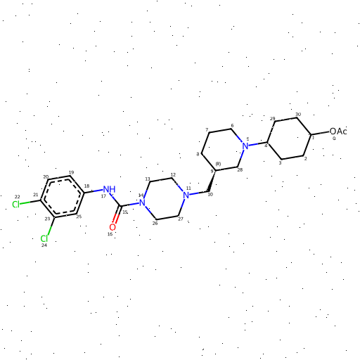 CC(=O)OC1CCC(N2CCC[C@H](CN3CCN(C(=O)Nc4ccc(Cl)c(Cl)c4)CC3)C2)CC1